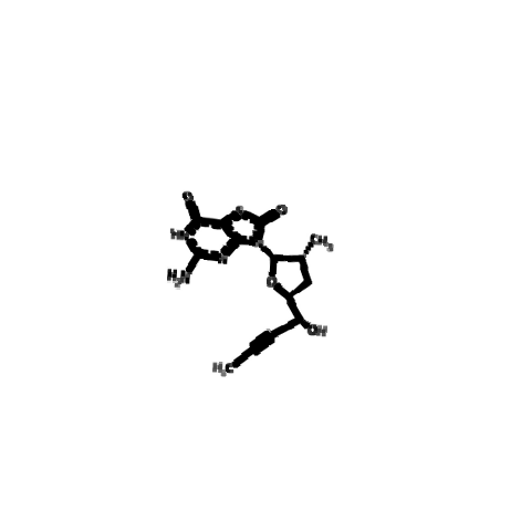 CC#C[C@H](O)[C@@H]1C[C@@H](C)[C@H](n2c(=O)sc3c(=O)[nH]c(N)nc32)O1